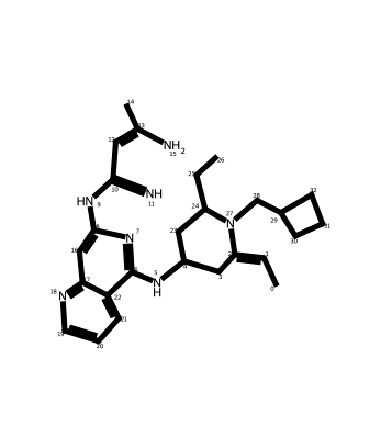 C/C=C1\CC(Nc2nc(NC(=N)/C=C(/C)N)cc3ncccc23)CC(CC)N1CC1CCC1